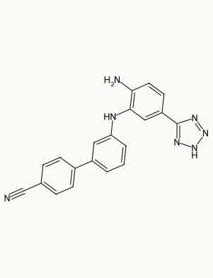 N#Cc1ccc(-c2cccc(Nc3cc(-c4nn[nH]n4)ccc3N)c2)cc1